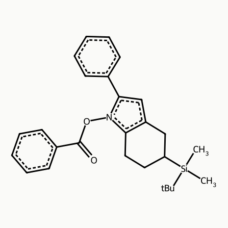 CC(C)(C)[Si](C)(C)C1CCc2c(cc(-c3ccccc3)n2OC(=O)c2ccccc2)C1